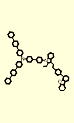 C=Cc1c(/C=C/c2ccc(-c3cccc4c5c(oc34)=CCCC=5)cc2)c2ccccc2n1-c1ccc(-c2ccc(N(c3ccc(-c4ccc(-c5ccccc5)cc4)cc3)c3ccc(-c4ccc(-c5ccccc5)cc4)cc3)cc2)cc1